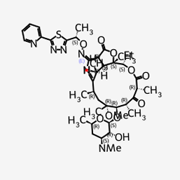 CC[C@@H]1OC(=O)[C@H](C)C(=O)[C@H](C)[C@@H](O[C@@H]2O[C@H](C)C[C@H](NC)[C@H]2O)[C@](C)(OC)C[C@@H](C)C2=N/C(=N/O[C@@H](C)c3nnc(-c4ccccn4)s3)[C@@H]3C(=O)O[C@@]1(C)[C@H]3[C@H]2C